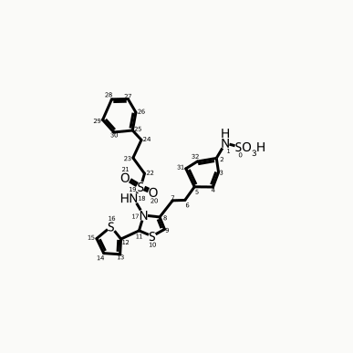 O=S(=O)(O)Nc1ccc(CCC2=CSC(c3cccs3)N2NS(=O)(=O)CCCc2ccccc2)cc1